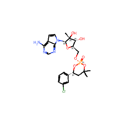 CC1(C)C[C@H](c2cccc(Cl)c2)O[P@](=O)(OC[C@H]2O[C@@H](n3ccc4c(N)ncnc43)[C@](C)(O)[C@@H]2O)O1